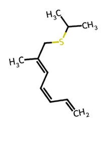 C=C/C=C\C=C(/C)CSC(C)C